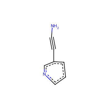 NC#Cc1cccnc1